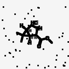 COC(=O)[C@@H]1NC[C@@H]2[C@H]1C2(C)C.Cl